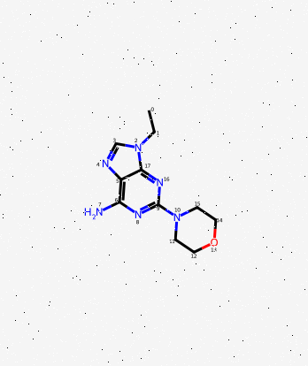 CCn1cnc2c(N)nc(N3CCOCC3)nc21